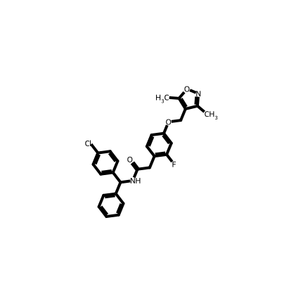 Cc1noc(C)c1COc1ccc(CC(=O)NC(c2ccccc2)c2ccc(Cl)cc2)c(F)c1